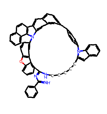 N=C(/N=C1\NCCCCCc2cc3ccccc3n2-c2ccc(cc2)-c2ccc3cc4c5ccc6ccccc6c5n(c4cc3c2)-c2cc3c(oc4cccc1c43)c1ccccc21)c1ccccc1